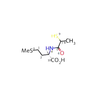 CSCC[C@H](NC(=O)C(C)S)C(=O)O